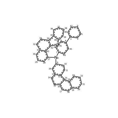 c1ccc(-c2ccc(N(c3ccc4c(ccc5ccc6ccccc6c54)c3)c3cccc4ccc5c6ccccc6oc5c34)cc2)cc1